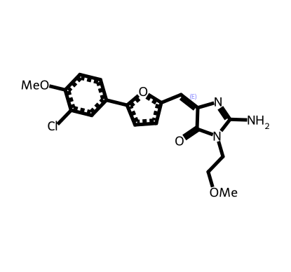 COCCN1C(=O)/C(=C\c2ccc(-c3ccc(OC)c(Cl)c3)o2)N=C1N